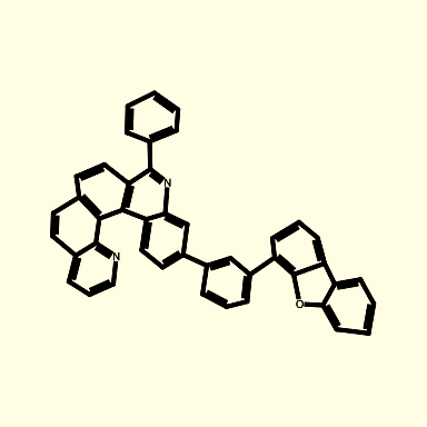 c1ccc(-c2nc3cc(-c4cccc(-c5cccc6c5oc5ccccc56)c4)ccc3c3c2ccc2ccc4cccnc4c23)cc1